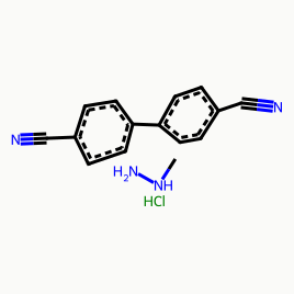 CNN.Cl.N#Cc1ccc(-c2ccc(C#N)cc2)cc1